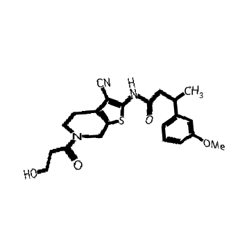 COc1cccc(C(C)CC(=O)Nc2sc3c(c2C#N)CCN(C(=O)CCO)C3)c1